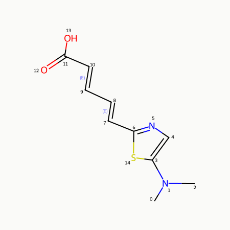 CN(C)c1cnc(/C=C/C=C/C(=O)O)s1